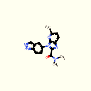 CN(C)C(=O)c1nc2ccc(C(F)(F)F)nc2n1-c1ccc2[nH]ncc2c1